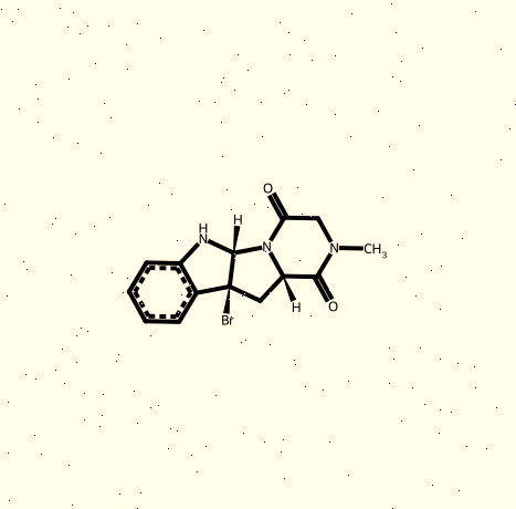 CN1CC(=O)N2[C@H]3Nc4ccccc4[C@@]3(Br)C[C@H]2C1=O